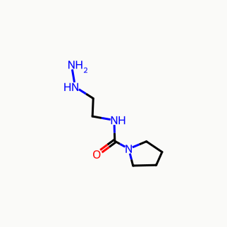 NNCCNC(=O)N1CCCC1